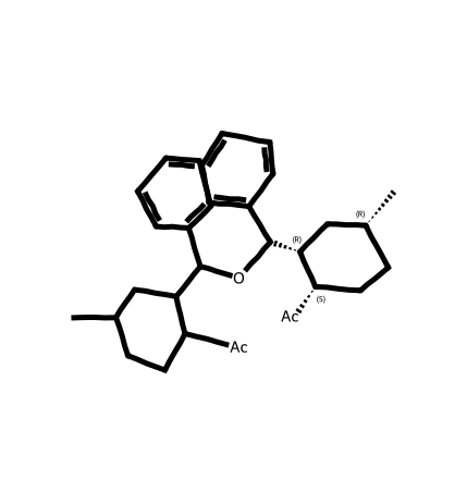 CC(=O)C1CCC(C)CC1C(OC(c1ccccc1)[C@@H]1C[C@H](C)CC[C@@H]1C(C)=O)c1ccccc1